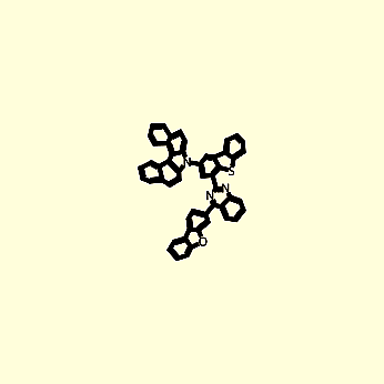 c1ccc2c(c1)ccc1c2c2c3ccccc3ccc2n1-c1cc(-c2nc(-c3ccc4c(c3)oc3ccccc34)c3ccccc3n2)c2sc3ccccc3c2c1